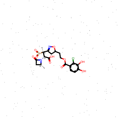 C[C@@H]1CC(=O)N1[C@@H](C(=O)O)[C@](C)(C1=NOC(CCOC(=O)c2ccc(O)c(O)c2Cl)C1)[SH](=O)=O